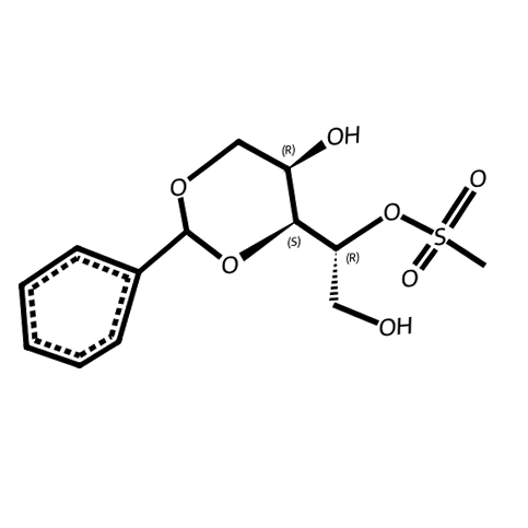 CS(=O)(=O)O[C@H](CO)[C@H]1OC(c2ccccc2)OC[C@H]1O